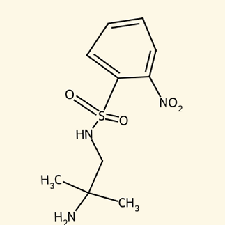 CC(C)(N)CNS(=O)(=O)c1ccccc1[N+](=O)[O-]